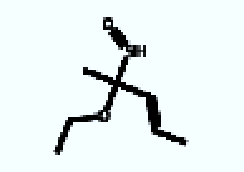 CC=CC(C)(OCC)[SiH]=O